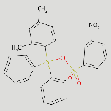 Cc1ccc(S(OS(=O)(=O)c2cccc([N+](=O)[O-])c2)(c2ccccc2)c2ccccc2)c(C)c1